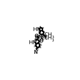 CC(C)(C)c1cc2cc[nH]c2cc1NC(=O)c1c[nH]c2cc(C#N)ccc2c1=O